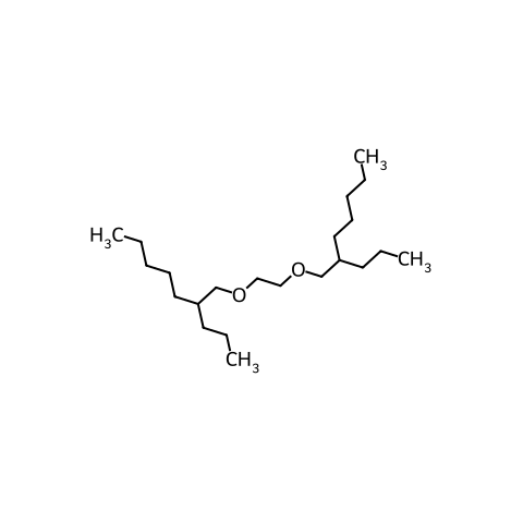 CCCCCC(CCC)COCCOCC(CCC)CCCCC